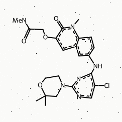 CNC(=O)COc1cc2cc(Nc3nc(N4CCOC(C)(C)C4)ncc3Cl)ccc2n(C)c1=O